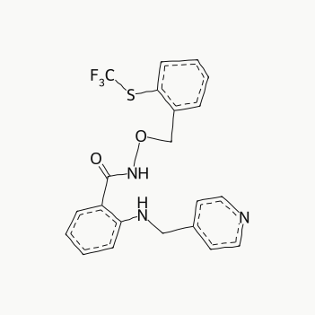 O=C(NOCc1ccccc1SC(F)(F)F)c1ccccc1NCc1ccncc1